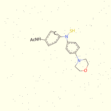 CC(=O)Nc1ccc(N(S)c2ccc(N3CCOCC3)cc2)cc1